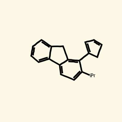 CC(C)c1ccc2c(c1C1=CC=CC1)Cc1ccccc1-2